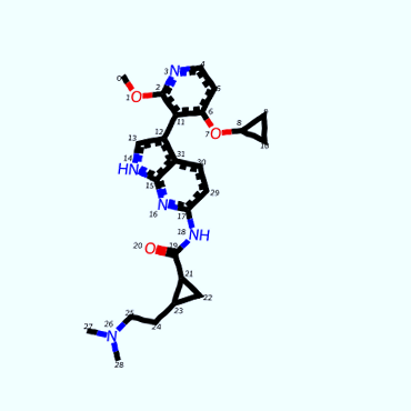 COc1nccc(OC2CC2)c1-c1c[nH]c2nc(NC(=O)C3CC3CCN(C)C)ccc12